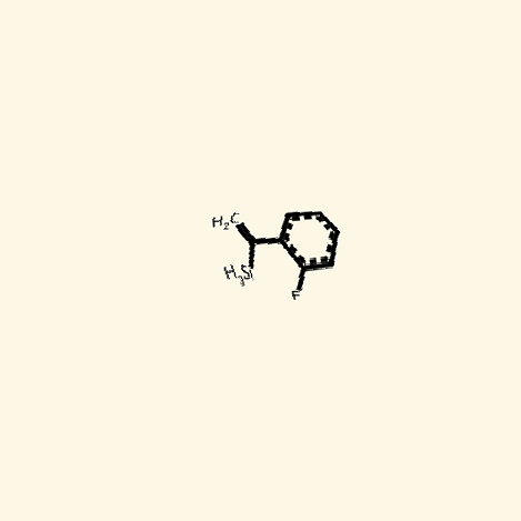 C=C([SiH3])c1ccccc1F